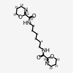 O=C(NCCCCCCNC(=O)C1=NCCCO1)C1=NCCCO1